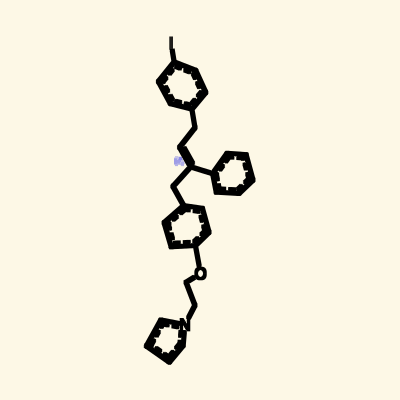 Ic1ccc(C/C=C(/Cc2ccc(OCCn3cccc3)cc2)c2ccccc2)cc1